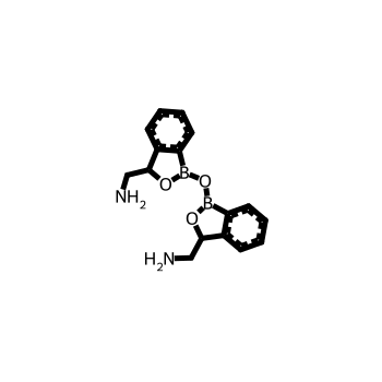 NCC1OB(OB2OC(CN)c3ccccc32)c2ccccc21